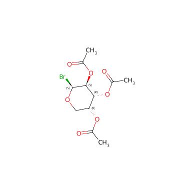 CC(=O)O[C@H]1[C@H](OC(C)=O)[C@H](OC(C)=O)CO[C@H]1Br